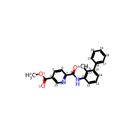 COC(=O)c1ccc(C(=O)Nc2cccc(-c3ccccc3)c2C)nc1